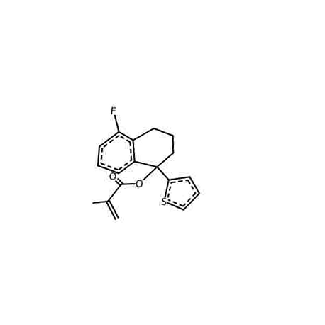 C=C(C)C(=O)OC1(c2cccs2)CCCc2c(F)cccc21